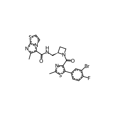 Cc1nc(C(=O)N2CC[C@@H]2CNC(=O)c2c(C)nc3sccn23)c(-c2ccc(F)c(Br)c2)s1